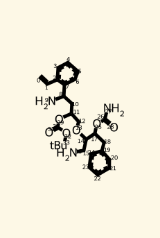 C=Cc1ccccc1C(N)CC(COC(CN)C(Cc1ccccc1)OC(N)=O)OC(=O)OC(C)(C)C